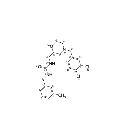 Cc1cccc(CNC(=O)NCC2CN(Cc3ccc(Cl)c(Cl)c3)CCO2)c1